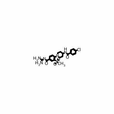 CS(=O)(=O)c1cc(C(=O)N=C(N)N)ccc1N1CCC(NC(=O)c2ccc(Cl)cc2)CC1